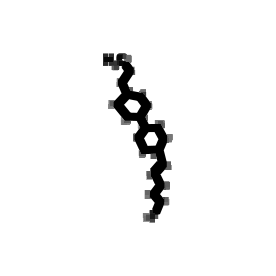 CCCC1CCC(C2CCC(/C=C/CCCF)CC2)CC1